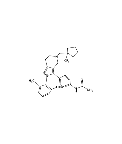 Cc1cccc(OCC(C)C)c1-n1nc2c(c1-c1ccc(NC(N)=O)cc1)CN(CC1(C(F)(F)F)CCCC1)CC2